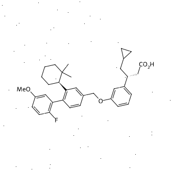 COc1ccc(F)c(-c2ccc(COc3cccc([C@@H](CC(=O)O)CC4CC4)c3)cc2[C@H]2CCCCC2(C)C)c1